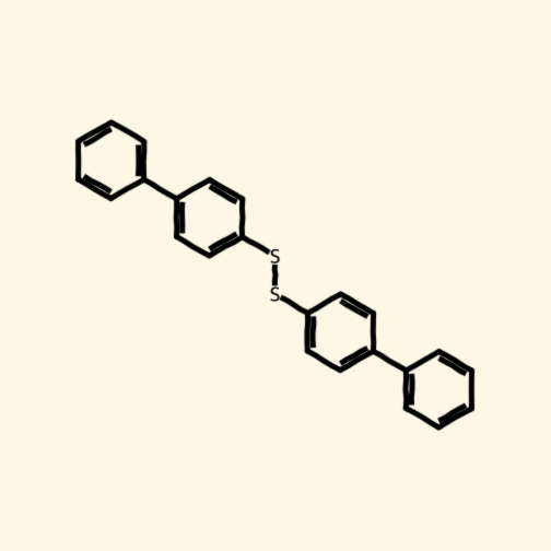 c1ccc(-c2ccc(SSc3ccc(-c4ccccc4)cc3)cc2)cc1